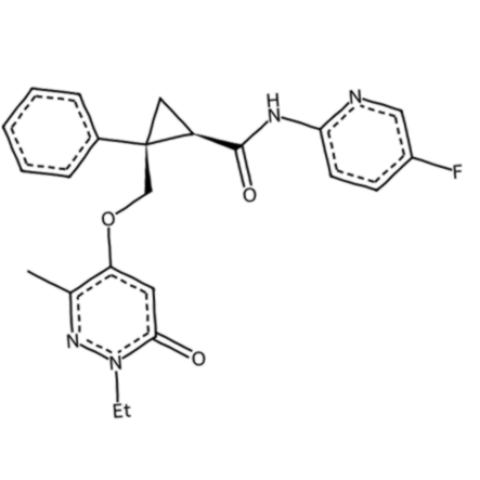 CCn1nc(C)c(OC[C@@]2(c3ccccc3)C[C@H]2C(=O)Nc2ccc(F)cn2)cc1=O